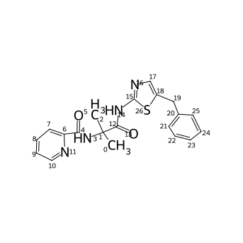 CC(C)(NC(=O)c1ccccn1)C(=O)Nc1ncc(Cc2ccccc2)s1